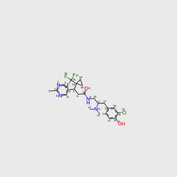 Cc1ncc(C(CC(=O)NCC(Cc2ccc(O)c(Cl)c2)N(C)C)C2(C(F)(F)F)CC2)cn1